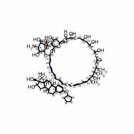 C#C[C@]1(O)[C@H](O)C[C@H]2[C@@H]3CCc4cc(OC5CCCC5)ccc4[C@H]3CC[C@@]21C.C[C@@H]1[C@H](O)[C@@H](C)/C=C/C=C/CC/C=C/C=C/C=C/C=C/[C@H](O[C@@H]2O[C@H](C)[C@@H](O)[C@H](N)[C@@H]2O)C[C@@H]2O[C@](O)(C[C@@H](O)[C@H](O)CC[C@@H](O)C[C@@H](O)C[C@@H](O)CC(=O)O[C@H]1C)C[C@H](O)[C@H]2C(=O)O